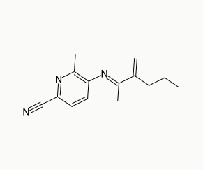 C=C(CCC)/C(C)=N/c1ccc(C#N)nc1C